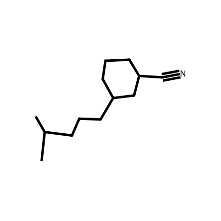 CC(C)CCCC1CCCC(C#N)C1